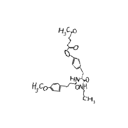 CCCNC(=O)C(Cc1ccc(OC(=O)CCCC(C)=O)cc1)NC(=O)CCc1ccc(OC)cc1